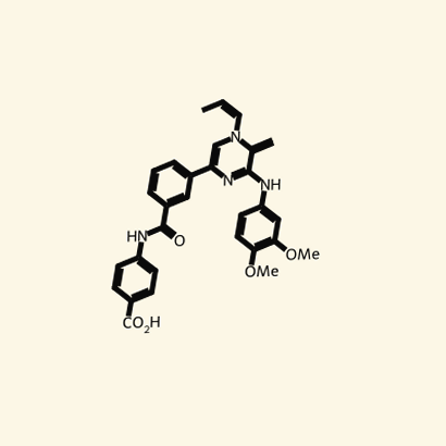 C=C1C(Nc2ccc(OC)c(OC)c2)=NC(c2cccc(C(=O)Nc3ccc(C(=O)O)cc3)c2)=CN1/C=C\C